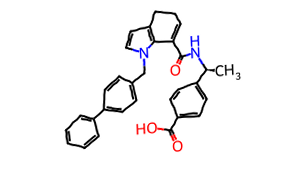 C[C@H](NC(=O)C1=CCCc2ccn(Cc3ccc(-c4ccccc4)cc3)c21)c1ccc(C(=O)O)cc1